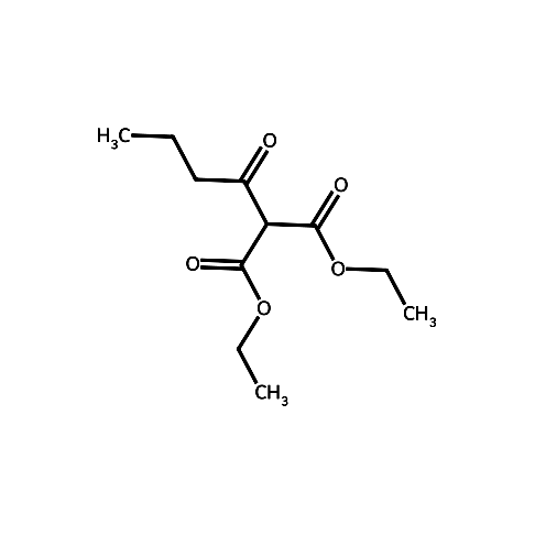 CCCC(=O)C(C(=O)OCC)C(=O)OCC